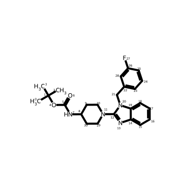 CC(C)(C)OC(=O)NC1CCN(c2nc3ccccc3n2Cc2cccc(F)c2)CC1